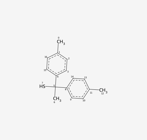 Cc1ccc(C(C)(S)c2ccc(C)cc2)cc1